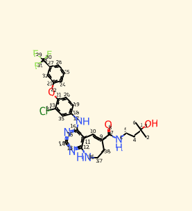 CC(C)(O)CCNC(=O)C1=Cc2c(ncnc2Nc2ccc(Oc3cccc(C(F)(F)F)c3)c(Cl)c2)NCC1